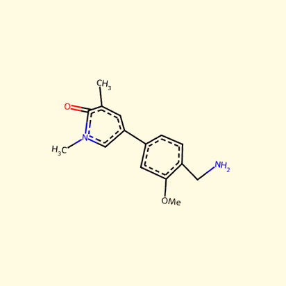 COc1cc(-c2cc(C)c(=O)n(C)c2)ccc1CN